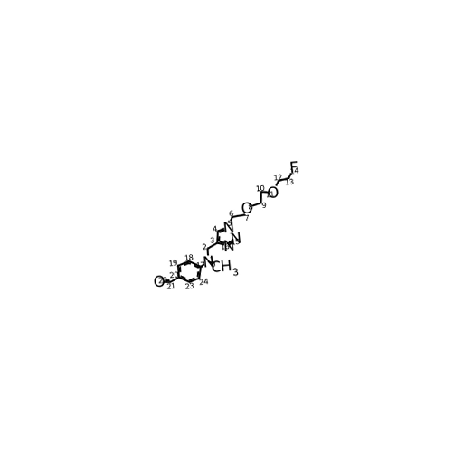 CN(Cc1cn(CCOCCOCCF)nn1)c1ccc(C=O)cc1